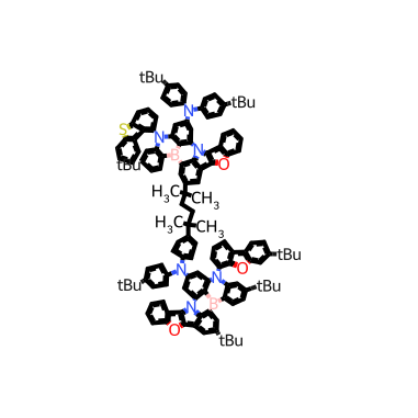 CC(C)(C)c1ccc(N(c2ccc(C(C)(C)CCC(C)(C)c3cc4c5c(c3)c3oc6ccccc6c3n5-c3cc(N(c5ccc(C(C)(C)C)cc5)c5ccc(C(C)(C)C)cc5)cc5c3B4c3ccc(C(C)(C)C)cc3N5c3cccc4sc5ccccc5c34)cc2)c2cc3c4c(c2)-n2c5c(cc(C(C)(C)C)cc5c5oc6ccccc6c52)B4c2ccc(C(C)(C)C)cc2N3c2cccc3c2oc2cc(C(C)(C)C)ccc23)cc1